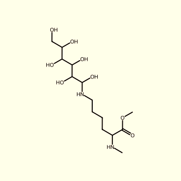 CNC(CCCCNC(O)C(O)C(O)C(O)C(O)CO)C(=O)OC